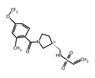 C=CS(=O)(=O)NC[C@H]1CCN(C(=O)c2ccc(OC(F)(F)F)cc2C)C1